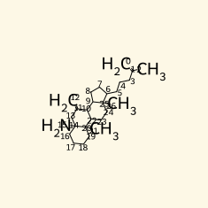 C=C(C)CCCC1CCC2C3C(=C)CC4(N)CCCCC4(C)C3CCC12C